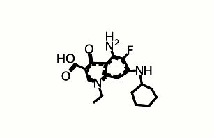 CCn1cc(C(=O)O)c(=O)c2c(N)c(F)c(NC3CCCCC3)cc21